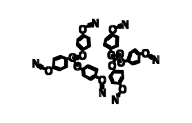 N#COc1ccc(OP(=O)(Oc2ccc(OC#N)cc2)Oc2ccc(OC#N)cc2)cc1.N#COc1ccc(OP(Oc2ccc(OC#N)cc2)Oc2ccc(OC#N)cc2)cc1